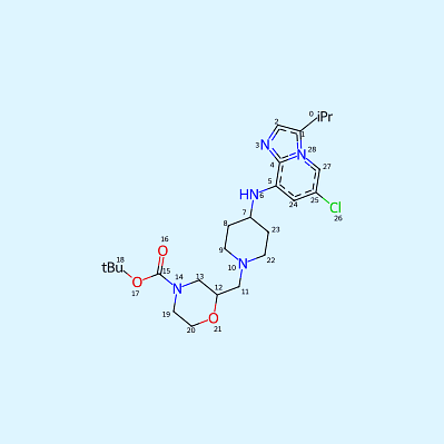 CC(C)c1cnc2c(NC3CCN(CC4CN(C(=O)OC(C)(C)C)CCO4)CC3)cc(Cl)cn12